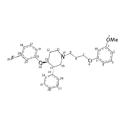 COc1cccc(OCCCN2CC[C@H](Oc3cccc(F)c3)[C@@H](c3ccccc3)C2)c1